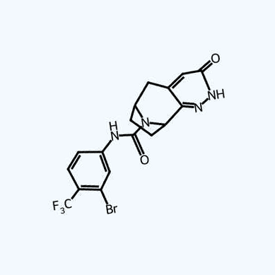 O=C(Nc1ccc(C(F)(F)F)c(Br)c1)N1C2CCC1c1n[nH]c(=O)cc1C2